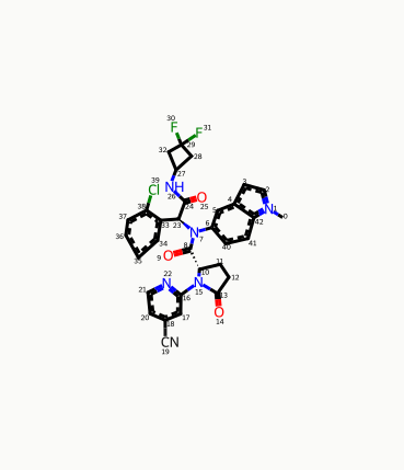 Cn1ccc2cc(N(C(=O)[C@@H]3CCC(=O)N3c3cc(C#N)ccn3)[C@H](C(=O)NC3CC(F)(F)C3)c3ccccc3Cl)ccc21